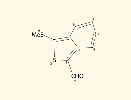 CSc1sc([C]=O)c2ccccc12